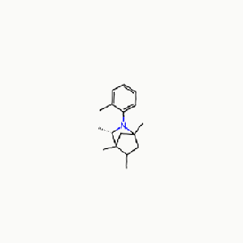 Cc1ccccc1N1[C@@H](C)C2(C)CC1(C)CC2C